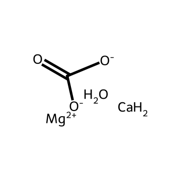 O.O=C([O-])[O-].[CaH2].[Mg+2]